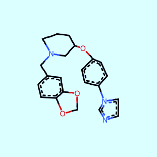 c1cn(-c2ccc(OC3CCCN(Cc4ccc5c(c4)OCO5)C3)cc2)cn1